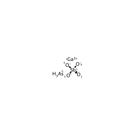 [AsH3].[Ga+3].[O]=[Sb]([O-])([O-])[O-]